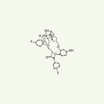 CCCCOc1cc(O)ccc1[C@@H]1C(CC[C@H](CC(C)(C)[Si](C)(C)O)c2ccc(F)cc2)C(=O)N1c1ccc(F)cc1